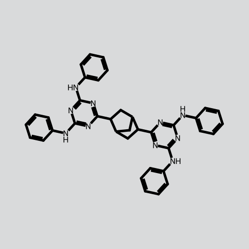 c1ccc(Nc2nc(Nc3ccccc3)nc(C3CC4CC3CC4c3nc(Nc4ccccc4)nc(Nc4ccccc4)n3)n2)cc1